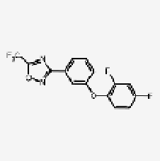 Fc1ccc(Oc2[c]ccc(-c3noc(C(F)(F)F)n3)c2)c(F)c1